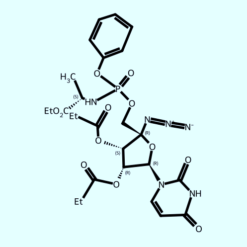 CCOC(=O)[C@H](C)NP(=O)(OC[C@@]1(N=[N+]=[N-])O[C@@H](n2ccc(=O)[nH]c2=O)[C@H](OC(=O)CC)[C@@H]1OC(=O)CC)Oc1ccccc1